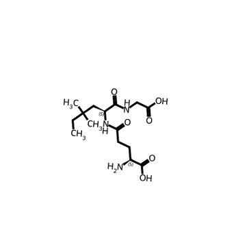 CCC(C)(C)C[C@H](NC(=O)CC[C@H](N)C(=O)O)C(=O)NCC(=O)O